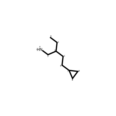 CCC(C[NH])CCC1CC1